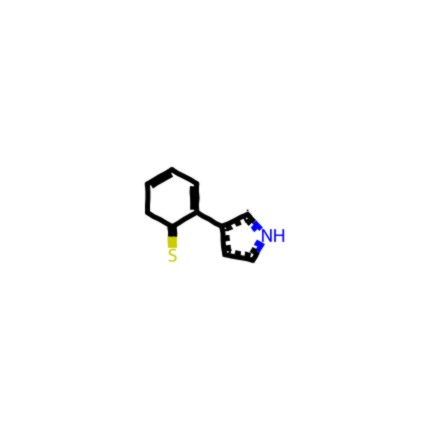 S=C1CC=CC=C1c1[c][nH]cc1